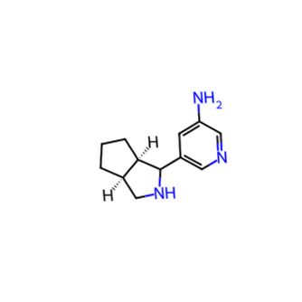 Nc1cncc(C2NC[C@H]3CCC[C@@H]23)c1